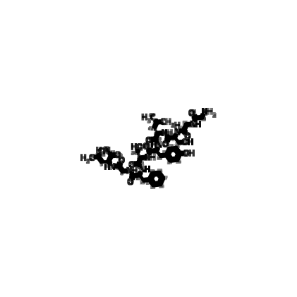 CC(C)C[C@H](NC(=O)CNC(=O)[C@H](Cc1ccccc1)NC(=O)[C@H](CO)NC(=O)[C@H](Cc1ccc(O)cc1)NC(=O)[C@H](CC(C)C)NC(=O)[C@H](CO)NC(=O)CNC(=O)CN)C(N)=O